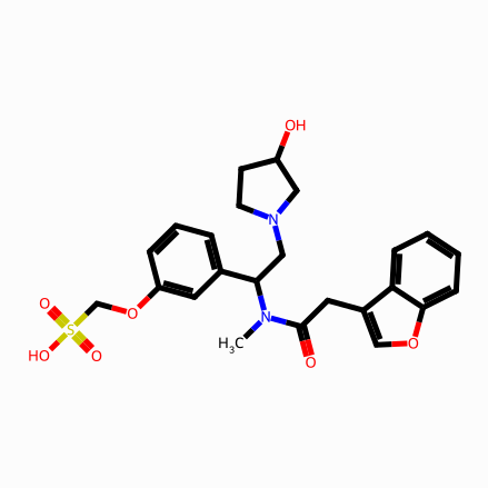 CN(C(=O)Cc1coc2ccccc12)C(CN1CCC(O)C1)c1cccc(OCS(=O)(=O)O)c1